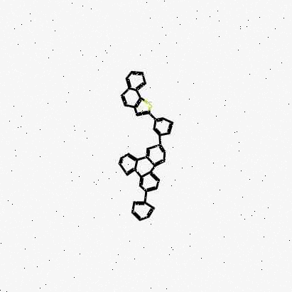 c1ccc(-c2ccc3c4ccc(-c5cccc(-c6cc7ccc8ccccc8c7s6)c5)cc4c4ccccc4c3c2)cc1